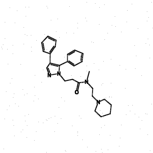 CN(CCN1CCCCC1)C(=O)CCn1ncc(-c2ccccc2)c1-c1ccccc1